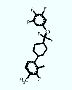 Cc1ccc(C2CCC(C(F)(F)Oc3cc(F)c(F)c(F)c3)CC2)c(F)c1F